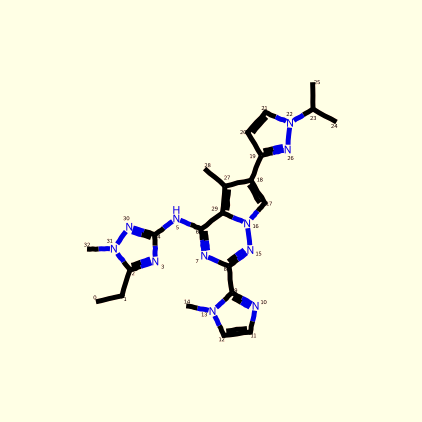 CCc1nc(Nc2nc(-c3nccn3C)nn3cc(-c4ccn(C(C)C)n4)c(C)c23)nn1C